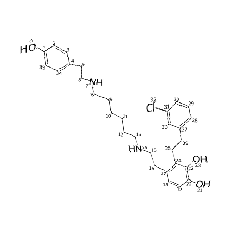 Oc1ccc(CCNCCCCCCNCCc2ccc(O)c(O)c2CCc2cccc(Cl)c2)cc1